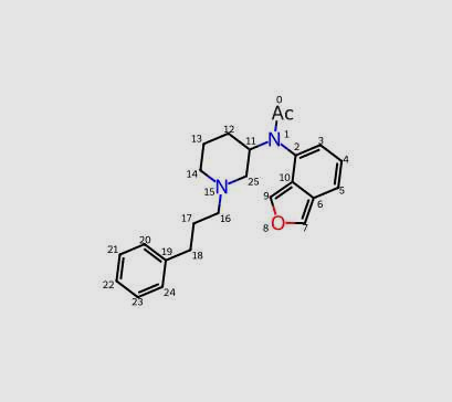 CC(=O)N(c1cccc2cocc12)C1CCCN(CCCc2ccccc2)C1